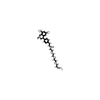 CN1Cc2c(Cl)cc(Cl)cc2C(c2ccc(CCNCCOCCOCCOCCN)cc2)C1